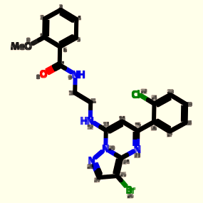 COc1ccccc1C(=O)NCCNc1cc(-c2ccccc2Cl)nc2c(Br)cnn12